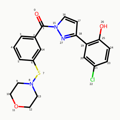 O=C(c1cccc(SN2CCOCC2)c1)n1ccc(-c2cc(Cl)ccc2O)n1